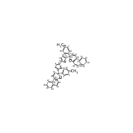 Cc1ccc(C2(c3ccc(-c4ccc(C5(c6ccc(C)cc6)C=Cc6c(ccc7ccccc67)O5)s4)s3)C=Cc3c(ccc4ccccc34)O2)cc1